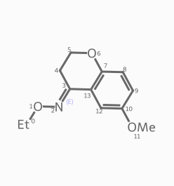 CCO/N=C1\CCOc2ccc(OC)cc21